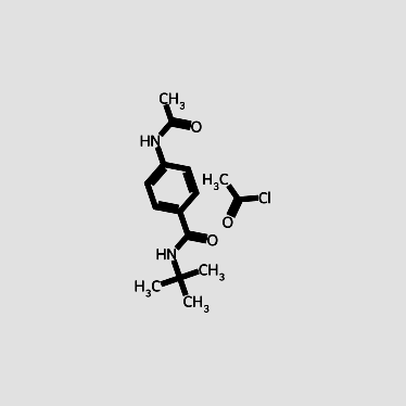 CC(=O)Cl.CC(=O)Nc1ccc(C(=O)NC(C)(C)C)cc1